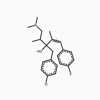 C/C(=C/c1ccc(F)cc1)C(O)(Cc1ccc(Cl)cc1)C(C)CN(C)C